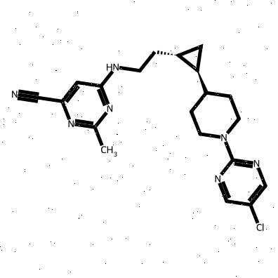 Cc1nc(C#N)cc(NCC[C@@H]2C[C@H]2C2CCN(c3ncc(Cl)cn3)CC2)n1